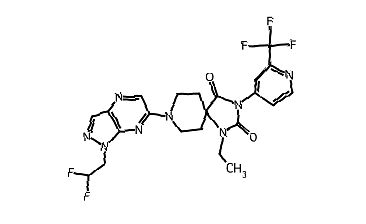 CCN1C(=O)N(c2ccnc(C(F)(F)F)c2)C(=O)C12CCN(c1cnc3cnn(CC(F)F)c3n1)CC2